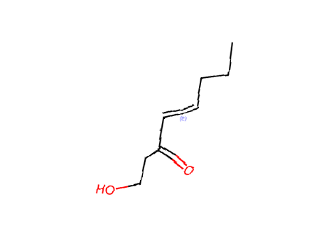 CCC/C=C/C(=O)CCO